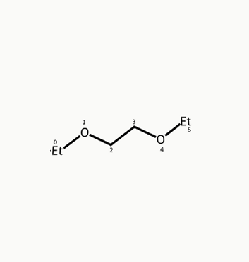 C[CH]OCCOCC